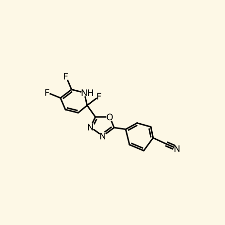 N#Cc1ccc(-c2nnc(C3(F)C=CC(F)=C(F)N3)o2)cc1